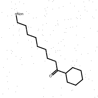 CCCCCCCCCCCCCCCCCC(=O)C1CCCCC1